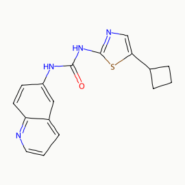 O=C(Nc1ccc2ncccc2c1)Nc1ncc(C2CCC2)s1